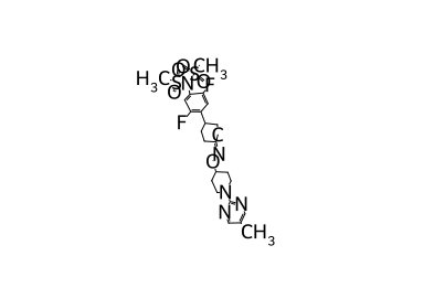 Cc1cnc(N2CCC(ON=C3CCC(c4cc(F)c(N(S(C)(=O)=O)S(C)(=O)=O)cc4F)CC3)CC2)nc1